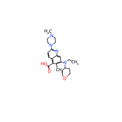 CCN(c1cc2nc(N3CCN(C)CC3)ccc2c(C(=O)O)c1C)C1CCOCC1